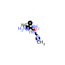 CN1CCN(CCCNC(=O)c2sc3nc(N)c(C#N)c(-c4ccccc4)c3c2N)CC1